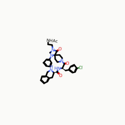 CC(=O)NCCN1CN(c2ccccc2)C2(CCN(C(=O)[C@@H](Cc3ccc(Cl)cc3)NC(=O)[C@H]3Cc4ccccc4CN3)CC2)C1=O